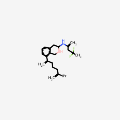 C=C(CC(C)(F)F)NC1BCc2c(cccc2C(=C)CCCC(=C)C(C)C)C1